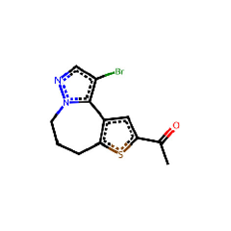 CC(=O)c1cc2c(s1)CCCn1ncc(Br)c1-2